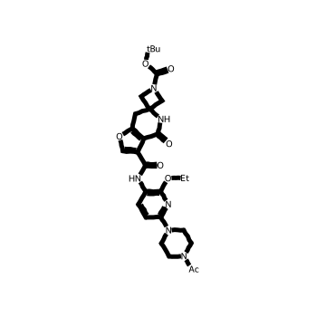 CCOc1nc(N2CCN(C(C)=O)CC2)ccc1NC(=O)c1coc2c1C(=O)NC1(C2)CN(C(=O)OC(C)(C)C)C1